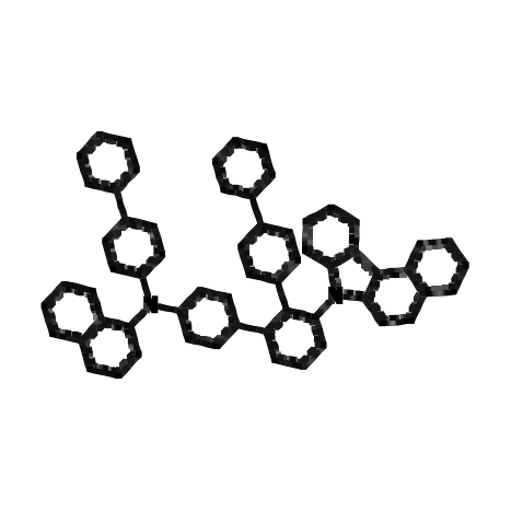 c1ccc(-c2ccc(-c3c(-c4ccc(N(c5ccc(-c6ccccc6)cc5)c5cccc6ccccc56)cc4)cccc3-n3c4ccccc4c4c5ccccc5ccc43)cc2)cc1